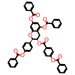 O=C(Oc1ccc(C(=O)O[C@H]2Cc3c(OC(=O)c4ccccc4)cc(OC(=O)c4ccccc4)cc3O[C@@H]2c2ccc(OC(=O)c3ccccc3)cc2)cc1)c1ccccc1